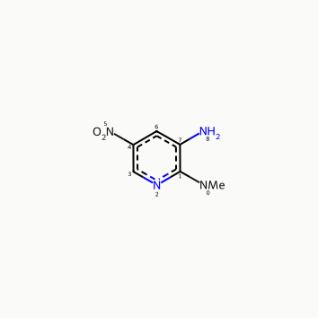 CNc1ncc([N+](=O)[O-])cc1N